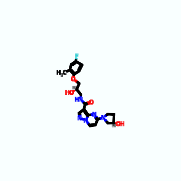 Cc1cc(F)ccc1OC[C@@H](O)CNC(=O)c1cnn2ccc(N3CC[C@@H](O)C3)nc12